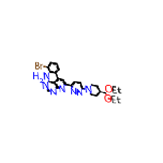 CCOC(OCC)C1CCN(c2ccc(-c3cc(-c4cccc(Br)c4)c4c(N)ncnc4n3)nn2)CC1